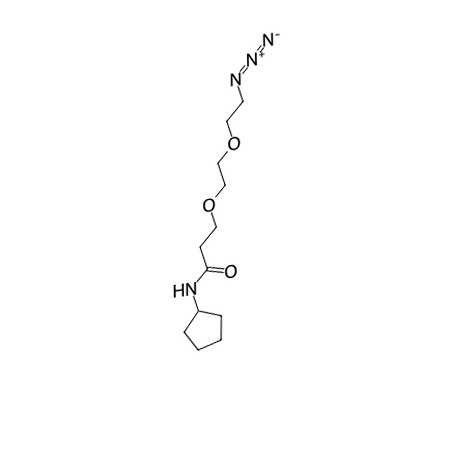 [N-]=[N+]=NCCOCCOCCC(=O)NC1CCCC1